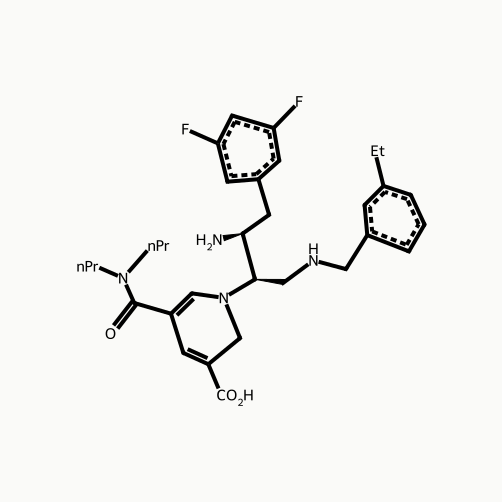 CCCN(CCC)C(=O)C1=CN([C@H](CNCc2cccc(CC)c2)[C@@H](N)Cc2cc(F)cc(F)c2)CC(C(=O)O)=C1